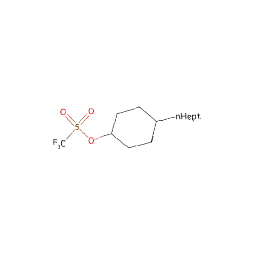 CCCCCCCC1CCC(OS(=O)(=O)C(F)(F)F)CC1